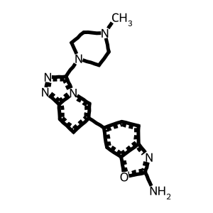 CN1CCN(c2nnc3ccc(-c4ccc5nc(N)oc5c4)cn23)CC1